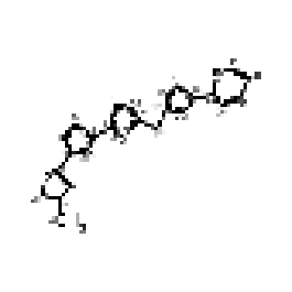 CC1C=C(c2ccc(-c3ccc(Cc4ccc(C5C=CC=CS5)s4)s3)s2)SC1